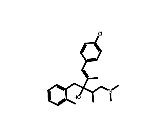 CC(=Cc1ccc(Cl)cc1)C(O)(Cc1ccccc1C)C(C)CN(C)C